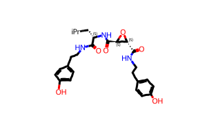 CC(C)C[C@H](NC(=O)[C@H]1O[C@@H]1C(=O)NCCc1ccc(O)cc1)C(=O)NCCc1ccc(O)cc1